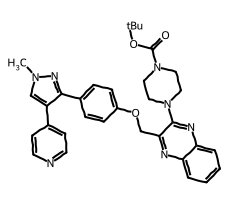 Cn1cc(-c2ccncc2)c(-c2ccc(OCc3nc4ccccc4nc3N3CCN(C(=O)OC(C)(C)C)CC3)cc2)n1